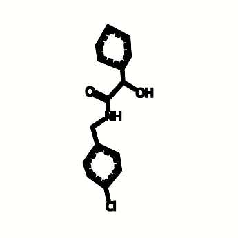 O=C(NCc1ccc(Cl)cc1)C(O)c1ccccc1